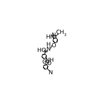 CCc1n[nH]c2cc(OCCNC[C@H](O)c3cccc(NS(=O)(=O)c4cccc(C#N)c4)c3)ccc12